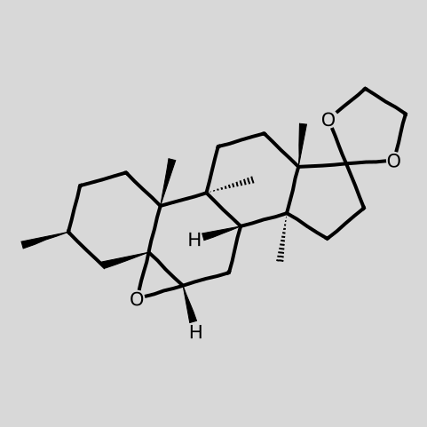 C[C@H]1CC[C@]2(C)[C@@]3(C)CC[C@]4(C)C5(CC[C@@]4(C)[C@@H]3C[C@@H]3O[C@@]32C1)OCCO5